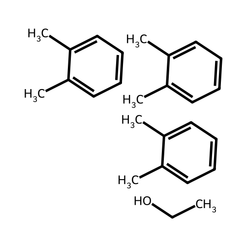 CCO.Cc1ccccc1C.Cc1ccccc1C.Cc1ccccc1C